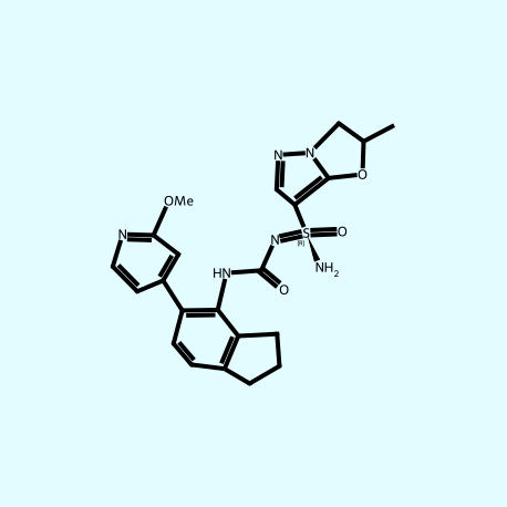 COc1cc(-c2ccc3c(c2NC(=O)N=[S@@](N)(=O)c2cnn4c2OC(C)C4)CCC3)ccn1